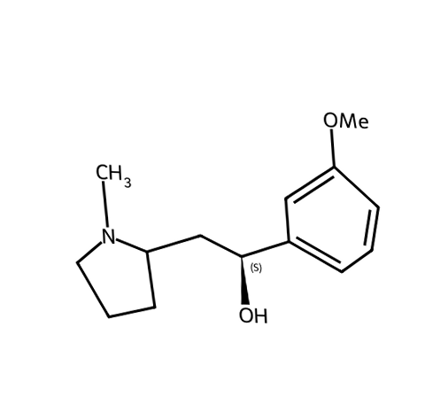 COc1cccc([C@@H](O)CC2CCCN2C)c1